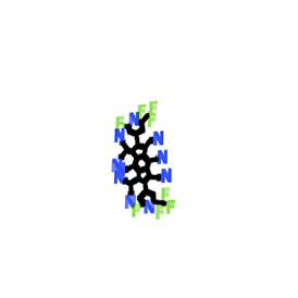 N#CC(C#N)=C1C(c2cc(F)nc(C(F)(F)F)c2)=C(C#N)c2c(C#N)c3c(c(C#N)c21)C(=C(C#N)C#N)C(c1cc(F)nc(C(F)(F)F)c1)=C3C#N